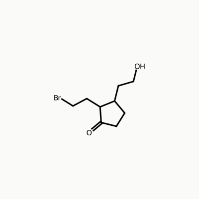 O=C1CCC(CCO)C1CCBr